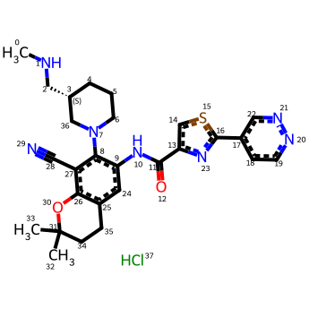 CNC[C@@H]1CCCN(c2c(NC(=O)c3csc(-c4ccnnc4)n3)cc3c(c2C#N)OC(C)(C)CC3)C1.Cl